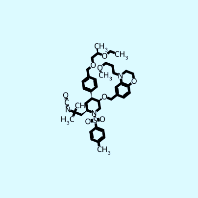 CCO[C@H](C)COCc1ccc([C@H]2C[C@H](CC(C)(C)N=C=O)N(S(=O)(=O)c3ccc(C)cc3)C[C@@H]2OCc2ccc3c(c2)N(CCCOC)CCO3)cc1